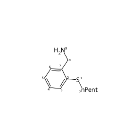 CCCCCSc1ccccc1CN